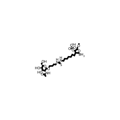 B[C@@H]1O[C@H](COC)[C@H](OP(=O)(O)OC)C1CCCCCCCNC(=S)NCCCCO[C@@H]1O[C@H](CO)[C@H](O)[C@H](O)[C@H]1NC(C)=O